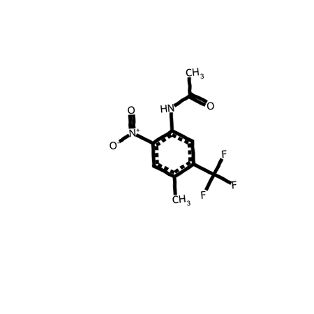 CC(=O)Nc1cc(C(F)(F)F)c(C)cc1[N+](=O)[O-]